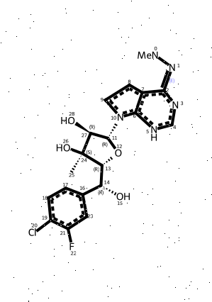 CN/N=c1/nc[nH]c2c1ccn2[C@@H]1O[C@H]([C@H](O)c2ccc(Cl)c(F)c2)[C@@](C)(O)[C@H]1O